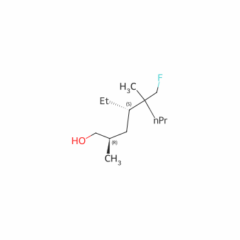 CCCC(C)(CF)[C@@H](CC)C[C@@H](C)CO